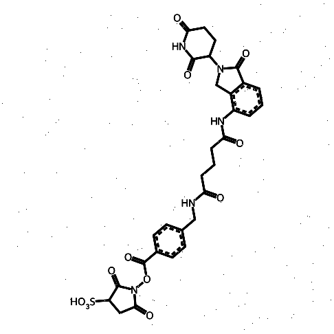 O=C(CCCC(=O)Nc1cccc2c1CN(C1CCC(=O)NC1=O)C2=O)NCc1ccc(C(=O)ON2C(=O)CC(S(=O)(=O)O)C2=O)cc1